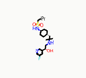 CC(C)CS(=O)(=O)N[C@H]1CC[C@H](CC(C)(C)NC[C@H](O)c2cncc(F)c2)CC1